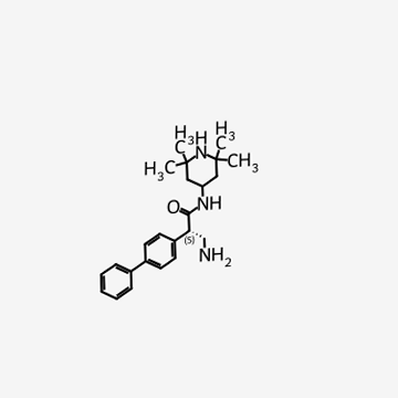 CC1(C)CC(NC(=O)[C@H](CN)c2ccc(-c3ccccc3)cc2)CC(C)(C)N1